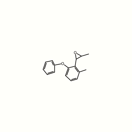 Cc1cccc(Oc2ccccc2)c1C1OC1C